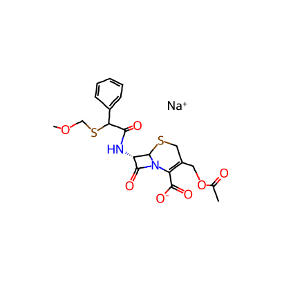 COCSC(C(=O)N[C@H]1C(=O)N2C(C(=O)[O-])=C(COC(C)=O)CSC12)c1ccccc1.[Na+]